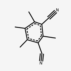 Cc1c(C)c(C#N)c(C)c(C#N)c1C